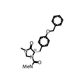 CNC(=O)N1CN(C)C(=O)[C@@H]1Cc1ccc(OCc2ccccc2)cc1